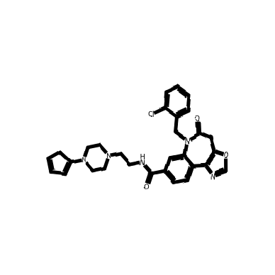 O=C(NCCN1CCN(C2=CC=CC2)CC1)c1ccc2c(c1)N(Cc1ccccc1Cl)C(=O)Cc1ocnc1-2